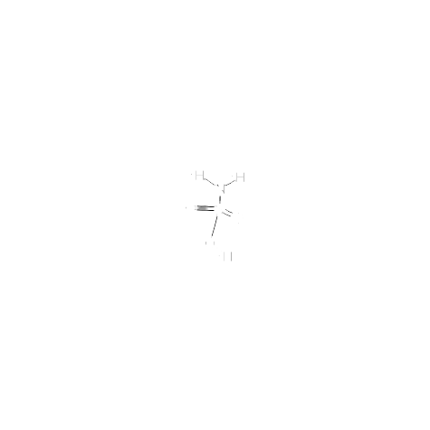 [2H]OS(=O)(=O)N([2H])[2H]